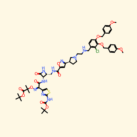 COc1ccc(COc2ccc(CNCCN3CC[C@@H](c4cc(C(=O)NC[C@H]5NC(=O)[C@H]5NC(=O)/C(=N\OC(C)(C)C(=O)OC(C)(C)C)c5csc(NC(=O)OC(C)(C)C)n5)on4)C3)c(Cl)c2OCc2ccc(OC)cc2)cc1